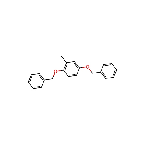 Cc1cc(OCc2ccccc2)ccc1OCc1ccccc1